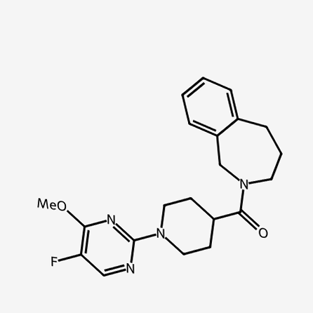 COc1nc(N2CCC(C(=O)N3CCCc4ccccc4C3)CC2)ncc1F